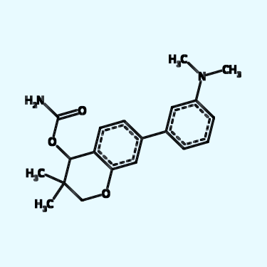 CN(C)c1cccc(-c2ccc3c(c2)OCC(C)(C)C3OC(N)=O)c1